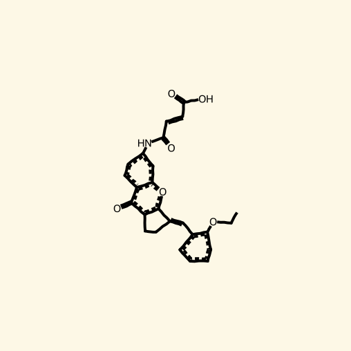 CCOc1ccccc1C=C1CCc2c1oc1cc(NC(=O)/C=C/C(=O)O)ccc1c2=O